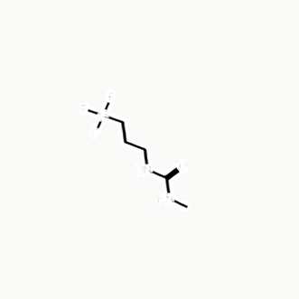 CNC(=O)NCCC[Si](F)(F)F